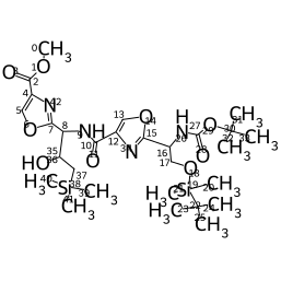 COC(=O)c1coc(C(NC(=O)c2coc(C(CO[Si](C)(C)C(C)(C)C)NC(=O)OC(C)(C)C)n2)C(O)C[Si](C)(C)C)n1